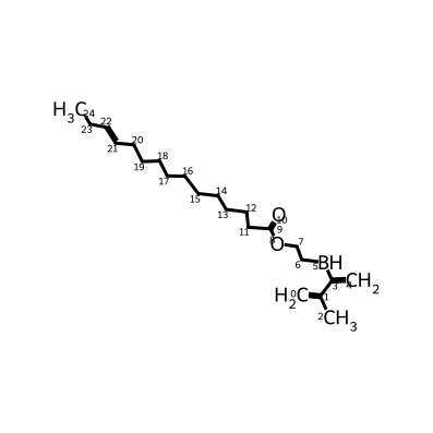 C=C(C)C(=C)BCCOC(=O)CCCCCCCCCC/C=C/CC